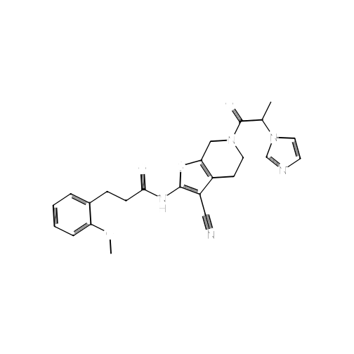 COc1ccccc1CCC(=O)Nc1sc2c(c1C#N)CCN(C(=O)C(C)n1ccnc1)C2